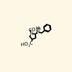 O=C(O)C1CC(NCc2ccccc2)N(C(=O)O)C1